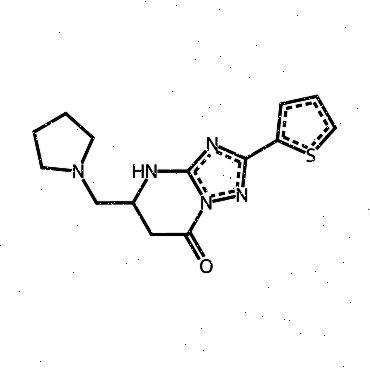 O=C1CC(CN2CCCC2)Nc2nc(-c3cccs3)nn21